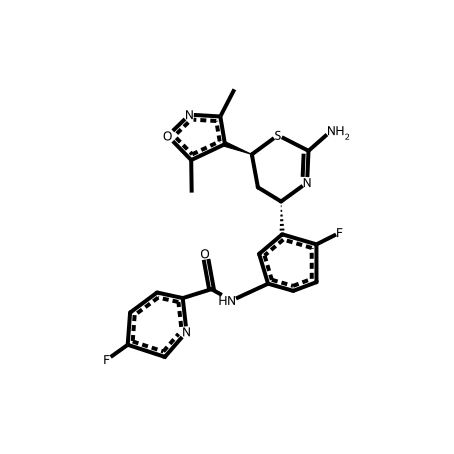 Cc1noc(C)c1[C@@H]1C[C@@H](c2cc(NC(=O)c3ccc(F)cn3)ccc2F)N=C(N)S1